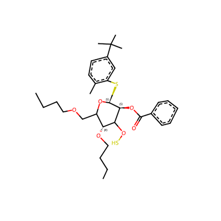 CCCCOCC1O[C@@H](Sc2cc(C(C)(C)C)ccc2C)[C@@H](OC(=O)c2ccccc2)C(OS)[C@@H]1OCCCC